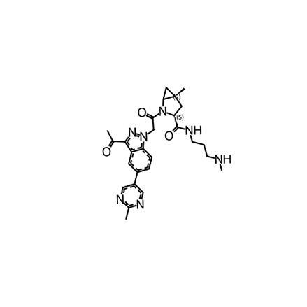 CNCCCNC(=O)[C@@H]1C[C@@]2(C)CC2N1C(=O)Cn1nc(C(C)=O)c2cc(-c3cnc(C)nc3)ccc21